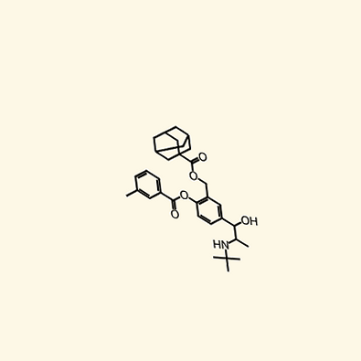 Cc1cccc(C(=O)Oc2ccc(C(O)C(C)NC(C)(C)C)cc2COC(=O)C23CC4CC(CC(C4)C2)C3)c1